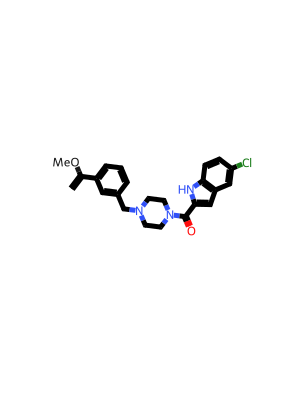 C=C(OC)c1cccc(CN2CCN(C(=O)c3cc4cc(Cl)ccc4[nH]3)CC2)c1